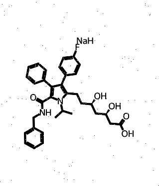 CC(C)n1c(CC[C@@H](O)C[C@@H](O)CC(=O)O)c(-c2ccc(F)cc2)c(-c2ccccc2)c1C(=O)NCc1ccccc1.[NaH]